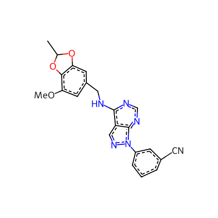 COc1cc(CNc2ncnc3c2cnn3-c2cccc(C#N)c2)cc2c1OC(C)O2